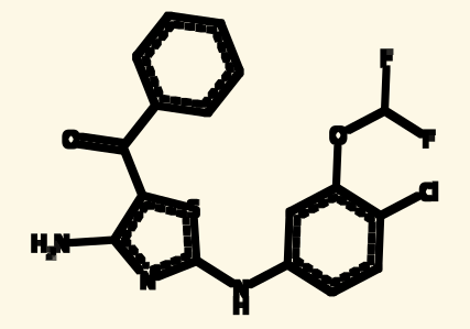 Nc1nc(Nc2ccc(Cl)c(OC(F)F)c2)sc1C(=O)c1ccccc1